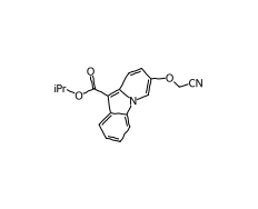 CC(C)OC(=O)c1c2ccccc2n2cc(OCC#N)ccc12